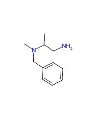 CC(CN)N(C)Cc1ccccc1